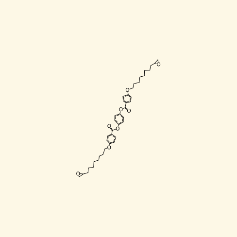 O=C(Oc1ccc(OC(=O)c2ccc(OCCCCCCCCC3CO3)cc2)cc1)c1ccc(OCCCCCCCCC2CO2)cc1